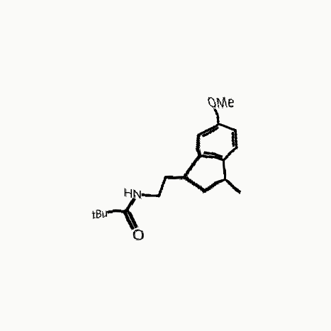 COc1ccc2c(c1)C(CCNC(=O)C(C)(C)C)CC2C